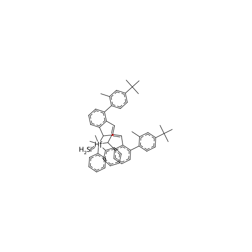 Cc1cc(C(C)(C)C)ccc1-c1cccc2c1C=C[CH]2[Hf]([CH3])([CH3])(=[SiH2])([c]1ccccc1)([c]1ccccc1)[CH]1C=Cc2c(-c3ccc(C(C)(C)C)cc3C)cccc21